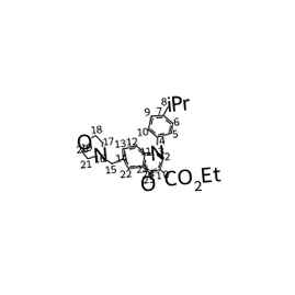 CCOC(=O)c1cn(-c2ccc(C(C)C)cc2)c2ccc(CN3CCOCC3)cc2c1=O